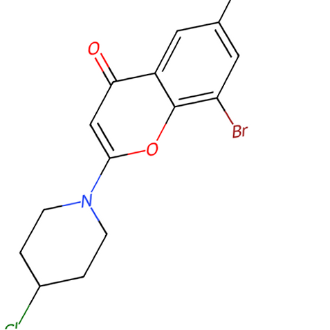 Cc1cc(Br)c2oc(N3CCC(Cl)CC3)cc(=O)c2c1